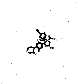 C#Cc1ccc([N+]2(C(N)=O)C[C@H](O)C[C@]2(C(N)=O)c2ccc(N3CCOCC3=O)c(C)c2)cc1